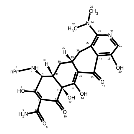 CCCN[C@@H]1C(O)=C(C(N)=O)C(=O)[C@@]2(O)C(O)=C3C(=O)c4c(O)cnc(N(C)C)c4C[C@H]3C[C@@H]12